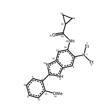 CCN(CC)c1cc2[nH]c(-c3ccccc3OC)nc2cc1NC(=O)C1CC1